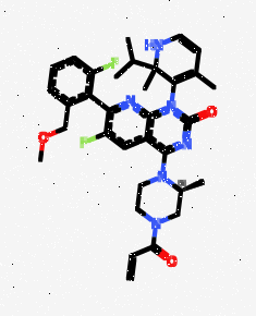 C=CC(=O)N1CCN(c2nc(=O)n(C3=C(C)C=CNC3(C)C(C)C)c3nc(-c4c(F)cccc4COC)c(F)cc23)[C@@H](C)C1